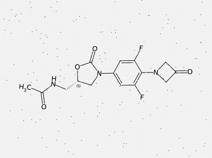 CC(=O)NC[C@H]1CN(c2cc(F)c(N3CC(=O)C3)c(F)c2)C(=O)O1